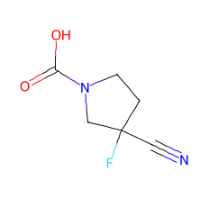 N#CC1(F)CCN(C(=O)O)C1